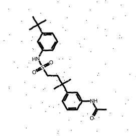 CC(=O)Nc1cccc(C(C)(C)CCS(=O)(=O)Nc2cccc(C(C)(C)C)c2)c1